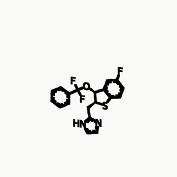 Fc1ccc2c(c1)[C@H](OC(F)(F)c1ccccc1)[C@H](Cc1ncc[nH]1)S2